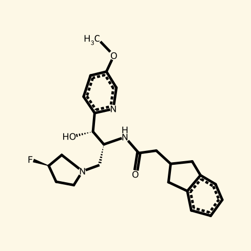 COc1ccc([C@@H](O)[C@@H](CN2CC[C@@H](F)C2)NC(=O)CC2Cc3ccccc3C2)nc1